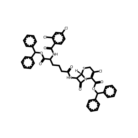 O=C(CCCC(NC(=O)c1ccc(Cl)cc1Cl)C(=O)OC(c1ccccc1)c1ccccc1)NC1C(=O)N2C(C(=O)OC(c3ccccc3)c3ccccc3)=C(Cl)CS[C@@H]12